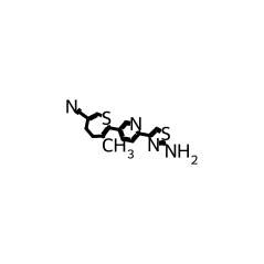 CC1=C(c2ccc(-c3csc(N)n3)nc2)SC=C(C#N)CC1